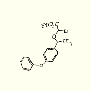 CCOC(=O)C(CC)OC(c1ccc(Oc2ccccc2)cc1)C(F)(F)F